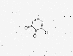 O=C1C=CC=C(Cl)C1=O